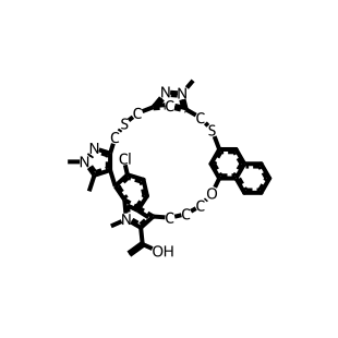 C=C(O)c1c2c3ccc(Cl)c(c3n1C)-c1c(nn(C)c1C)CSCc1cc(n(C)n1)CSc1cc(c3ccccc3c1)OCCC2